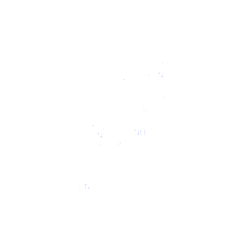 CON1CCCC(c2ccccc2C(C)C2CC(n3ccc4ccc(C(N)=O)cc43)CCN2)C1